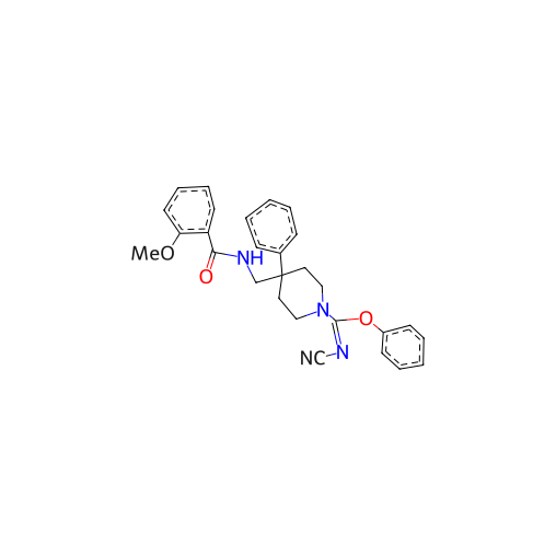 COc1ccccc1C(=O)NCC1(c2ccccc2)CCN(/C(=N\C#N)Oc2ccccc2)CC1